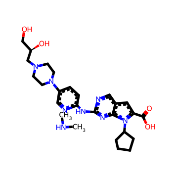 CNC.O=C(O)c1cc2cnc(Nc3ccc(N4CCN(C[C@H](O)CO)CC4)cn3)nc2n1C1CCCC1